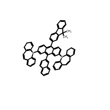 CC1(C)c2ccccc2-c2ccc(-c3c4ccc(N5C6=C(C=Cc7ccccc75)CCC=C6)cc4c(-c4ccc5ccccc5c4)c4cc(N5C6=C(C=CCC6)C=Cc6ccccc65)ccc34)cc21